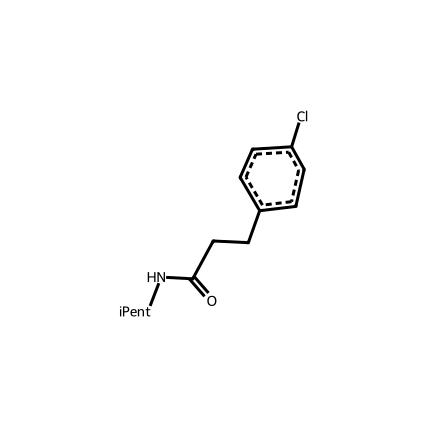 CCCC(C)NC(=O)CCc1ccc(Cl)cc1